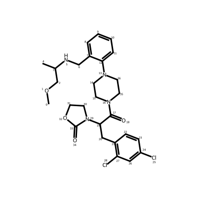 COCC(C)NCc1ccccc1N1CCN(C(=O)C(Cc2ccc(Cl)cc2Cl)N2CCOC2=O)CC1